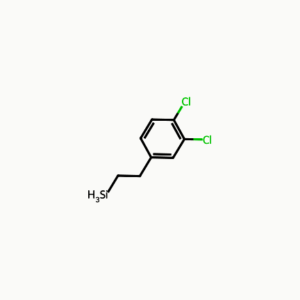 [SiH3]CCc1ccc(Cl)c(Cl)c1